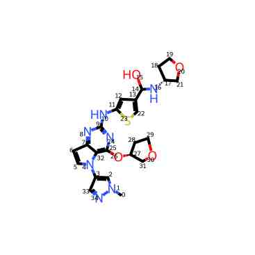 Cn1cc(-n2ccc3nc(Nc4cc(C(O)N[C@@H]5CCOC5)cs4)nc(O[C@H]4CCOC4)c32)cn1